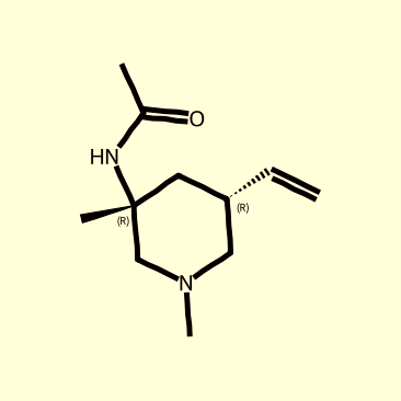 C=C[C@@H]1CN(C)C[C@](C)(NC(C)=O)C1